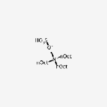 CCCCCCCC[N+](C)(CCCCCCCC)CCCCCCCC.O=S(=O)([O-])O